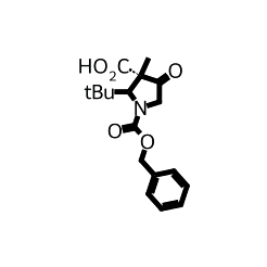 CC(C)(C)C1N(C(=O)OCc2ccccc2)CC(=O)[C@@]1(C)C(=O)O